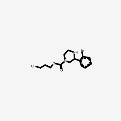 CCCCOC(=O)N1CCNC(c2ccccc2Br)C1